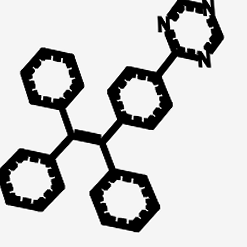 c1ccc(C(=C(c2ccccc2)c2ccc(-c3ncncn3)cc2)c2ccccc2)cc1